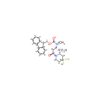 CN(C(=O)OCC1c2ccccc2-c2ccccc21)[C@@H](CC(=O)N1CCC(F)(F)CC1)C(=O)O